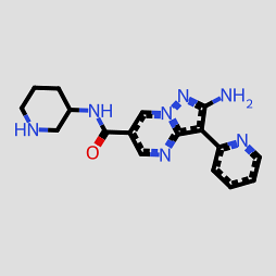 Nc1nn2cc(C(=O)NC3CCCNC3)cnc2c1-c1ccccn1